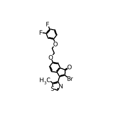 Cc1scnc1C1=C(Br)C(=O)c2cc(OCCOc3ccc(F)c(F)c3)ccc21